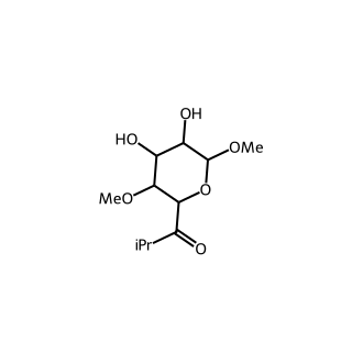 COC1OC(C(=O)C(C)C)C(OC)C(O)C1O